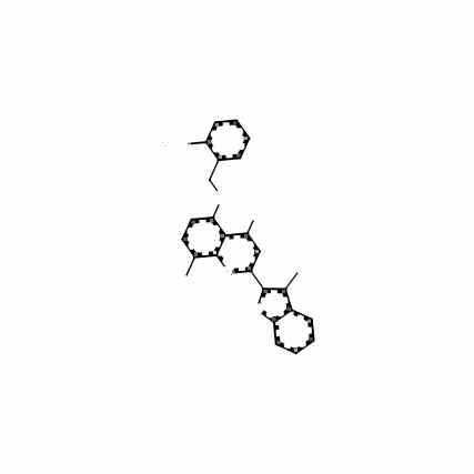 COc1ccccc1COc1ccc(C)c2nc(-c3sc4ccccc4c3C)cc(C(=O)O)c12